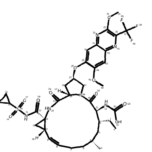 CC[C@@H]1C[C@H](C)CC/C=C\[C@@H]2C[C@@]2(C(=O)NS(=O)(=O)C2CC2)NC(=O)[C@@H]2C[C@@H](Oc3cc4nc(OC)c(C(F)(F)F)nc4cc3OC)CN2C(=O)[C@H]1NC(=O)O